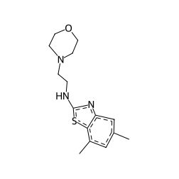 Cc1cc(C)c2sc(NCCN3CCOCC3)nc2c1